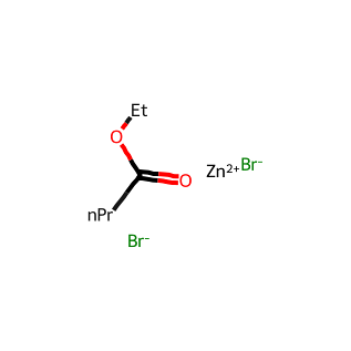 CCCC(=O)OCC.[Br-].[Br-].[Zn+2]